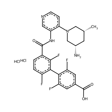 C[C@@H]1C[C@H](N)CN(c2ccncc2NC(=O)c2ccc(F)c(-c3c(F)cc(C(=O)O)cc3F)c2F)C1.Cl.Cl